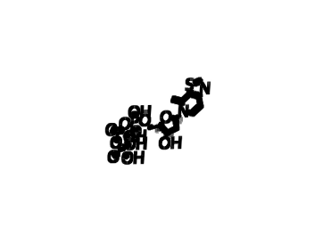 C=C1c2scnc2C=CN1[C@H]1C[C@@H](O)[C@@H](COP(=O)(O)OP(=O)(O)OP(=O)(O)O)O1